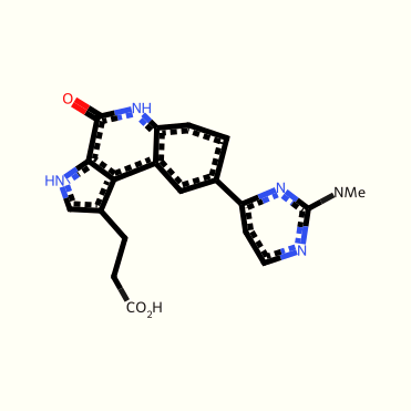 CNc1nccc(-c2ccc3[nH]c(=O)c4[nH]cc(CCC(=O)O)c4c3c2)n1